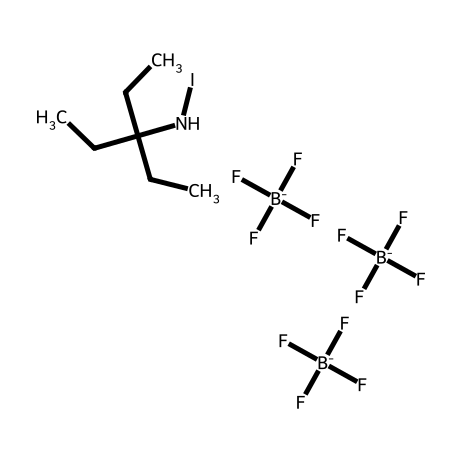 CCC(CC)(CC)NI.F[B-](F)(F)F.F[B-](F)(F)F.F[B-](F)(F)F